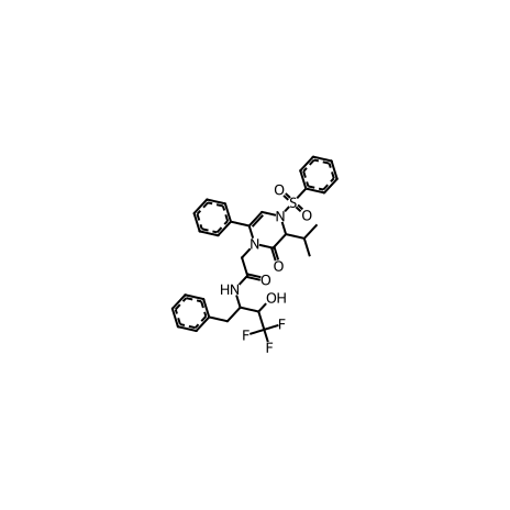 CC(C)C1C(=O)N(CC(=O)NC(Cc2ccccc2)C(O)C(F)(F)F)C(c2ccccc2)=CN1S(=O)(=O)c1ccccc1